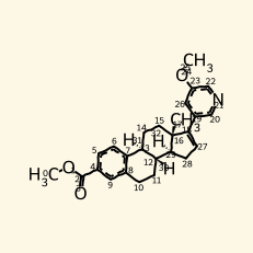 COC(=O)c1ccc2c(c1)CC[C@@H]1[C@@H]2CC[C@]2(C)C(c3cncc(OC)c3)=CC[C@@H]12